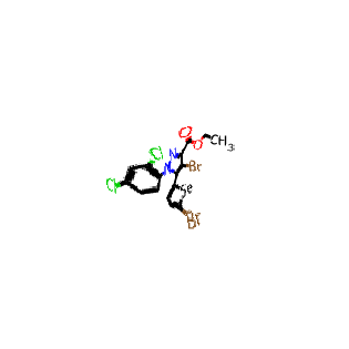 CCOC(=O)c1nn(-c2ccc(Cl)cc2Cl)c(-c2ccc(Br)[se]2)c1Br